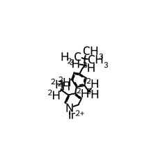 [2H]c1cc(C([2H])([2H])C(C)(C)C)cc(C([2H])([2H])[2H])c1C1=CC[N]([Ir+2])C=C1C([2H])([2H])[2H]